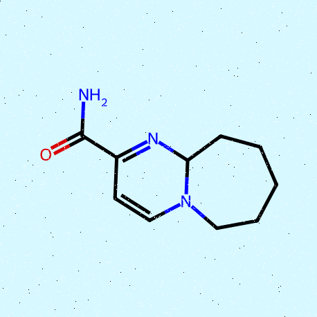 NC(=O)C1=NC2CCCCCN2C=C1